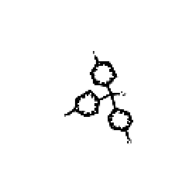 CC(=O)C(c1ccc(F)cc1)(c1ccc(F)cc1)c1ccc(Cl)cc1